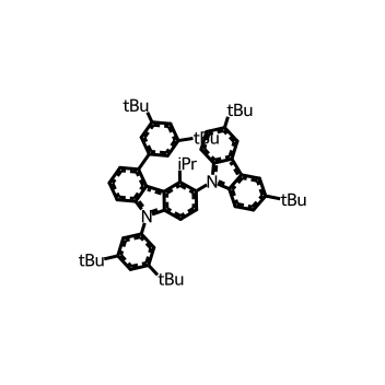 CC(C)c1c(-n2c3ccc(C(C)(C)C)cc3c3cc(C(C)(C)C)ccc32)ccc2c1c1c(-c3cc(C(C)(C)C)cc(C(C)(C)C)c3)cccc1n2-c1cc(C(C)(C)C)cc(C(C)(C)C)c1